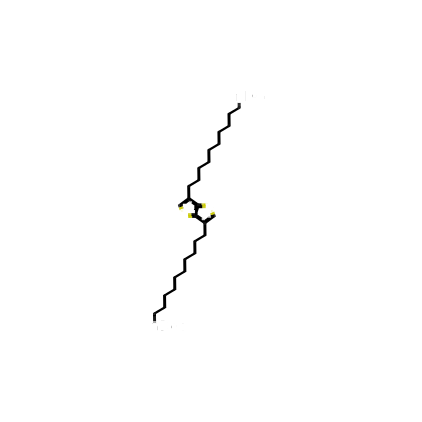 CCCCCCCCCCCCCCCCCCCCc1csc2c(CCCCCCCCCCCCCCCCCCCC)csc12